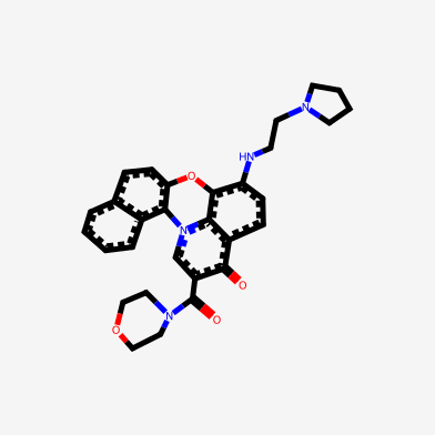 O=C(c1cn2c3c(c(NCCN4CCCC4)ccc3c1=O)Oc1ccc3ccccc3c1-2)N1CCOCC1